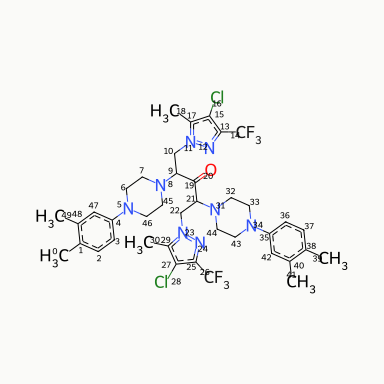 Cc1ccc(N2CCN(C(Cn3nc(C(F)(F)F)c(Cl)c3C)C(=O)C(Cn3nc(C(F)(F)F)c(Cl)c3C)N3CCN(c4ccc(C)c(C)c4)CC3)CC2)cc1C